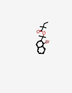 CCC(C)(C)C(=O)OC(C)(C)c1ccc2ccccc2c1Br